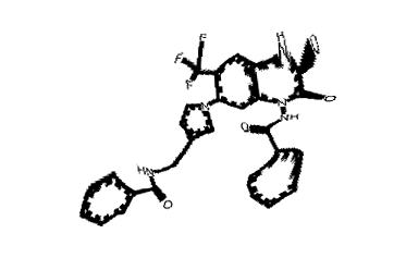 O=C(NCc1ccn(-c2cc3c(cc2C(F)(F)F)[nH]c(=O)c(=O)n3NC(=O)c2ccccc2)c1)c1ccccc1